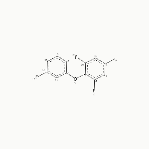 Cc1cc(F)c(Oc2cccc(F)c2)c(F)c1